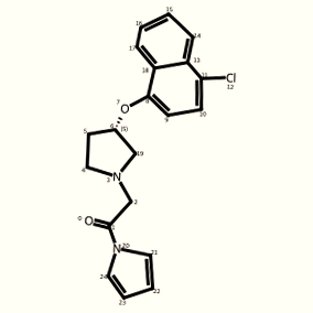 O=C(CN1CC[C@H](Oc2ccc(Cl)c3ccccc23)C1)n1cccc1